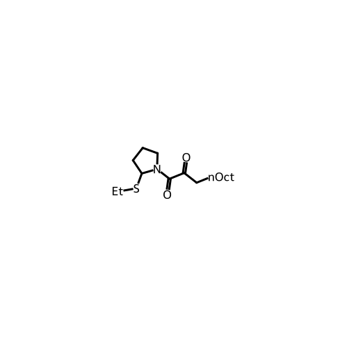 CCCCCCCCCC(=O)C(=O)N1CCCC1SCC